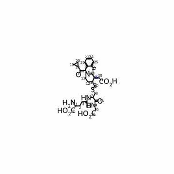 NC(CCC(=O)NC(CSSC1CCN(C(C(=O)C2CC2)c2ccccc2F)C/C1=C/C(=O)O)C(=O)NCC(=O)O)C(=O)O